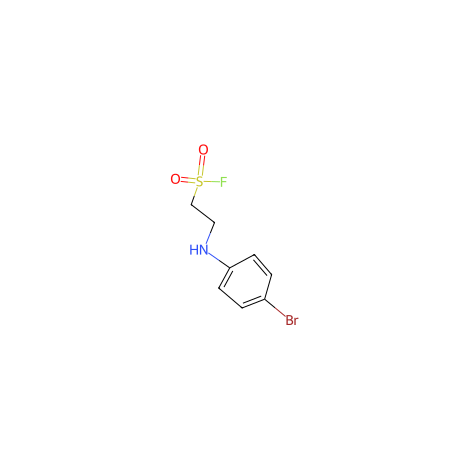 O=S(=O)(F)CCNc1ccc(Br)cc1